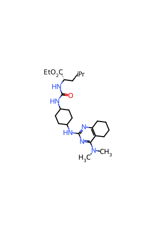 CCOC(=O)[C@H](CC(C)C)NC(=O)NC1CCC(Nc2nc3c(c(N(C)C)n2)CCCC3)CC1